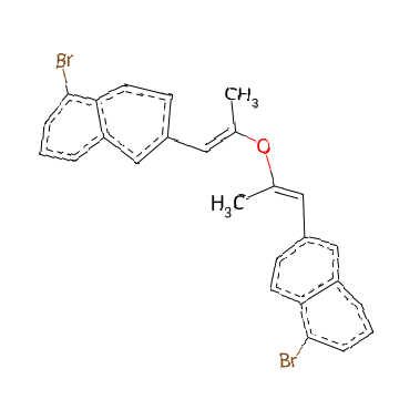 C/C(=C\c1ccc2c(Br)cccc2c1)O/C(C)=C/c1ccc2c(Br)cccc2c1